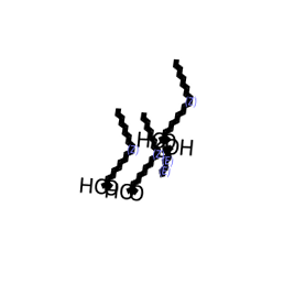 C/C=C/C=C/C(=O)O.CCCCCCCC/C=C\CCCCCCCC(=O)O.CCCCCCCC/C=C\CCCCCCCC(=O)O.CCCCCCCC/C=C\CCCCCCCC(=O)O